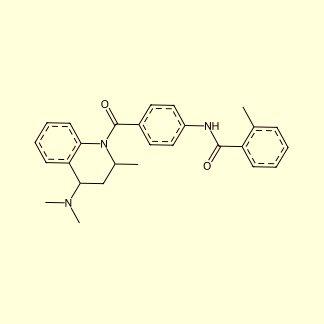 Cc1ccccc1C(=O)Nc1ccc(C(=O)N2c3ccccc3C(N(C)C)CC2C)cc1